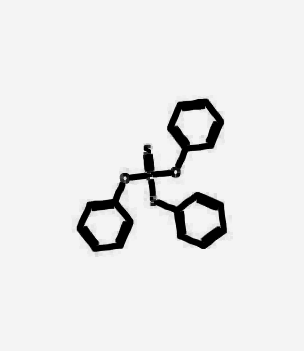 S=P(Oc1ccccc1)(Oc1ccccc1)Sc1ccccc1